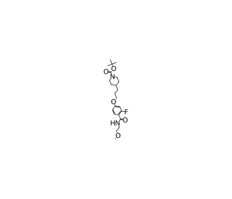 COCCNC(=O)c1ccc(OCCCC2CCN(C(=O)OC(C)(C)C)CC2)cc1F